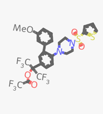 COc1cccc(-c2cc(C(OC(=O)C(F)(F)F)(C(F)(F)F)C(F)(F)F)ccc2N2CCN(S(=O)(=O)c3cccs3)CC2)c1